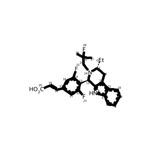 CC[C@@H]1Cc2c([nH]c3ccccc23)[C@@H](c2c(F)cc(C=CC(=O)O)cc2F)N1CC(C)(C)F